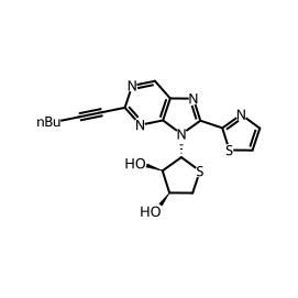 CCCCC#Cc1ncc2nc(-c3nccs3)n([C@@H]3SC[C@@H](O)[C@H]3O)c2n1